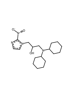 O=[N+]([O-])c1nccn1CC(O)CN(C1CCCCC1)C1CCCCC1